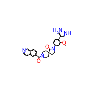 COc1cc(N2CCC3(CCN(C(=O)c4ccc5cnccc5c4)CC3)C2=O)ccc1/C(C=N)=C/N